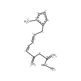 C=C(/C=C\C=N\Cc1cncn1C)CC(=C)NN